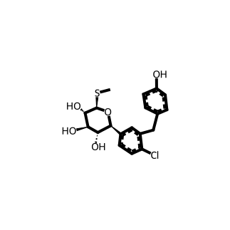 CS[C@H]1O[C@@H](c2ccc(Cl)c(Cc3ccc(O)cc3)c2)[C@H](O)[C@@H](O)[C@@H]1O